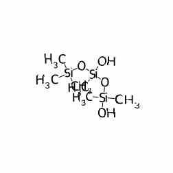 C[Si](C)(C)O[Si](C)(O)O[Si](C)(C)O